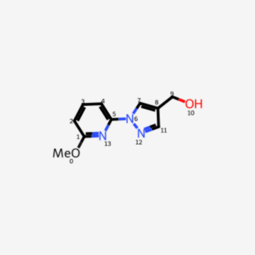 COc1cccc(-n2cc(CO)cn2)n1